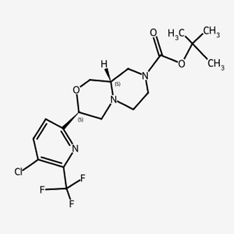 CC(C)(C)OC(=O)N1CCN2C[C@@H](c3ccc(Cl)c(C(F)(F)F)n3)OC[C@@H]2C1